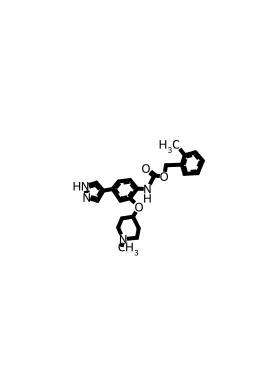 Cc1ccccc1COC(=O)Nc1ccc(-c2cn[nH]c2)cc1OC1CCN(C)CC1